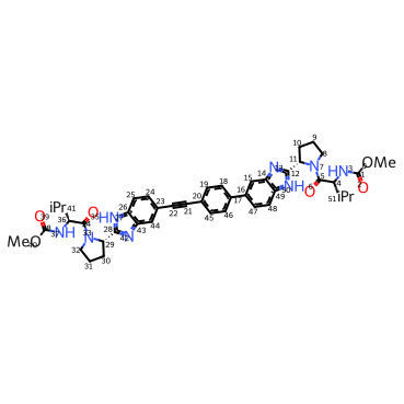 COC(=O)NC(C(=O)N1CCC[C@H]1c1nc2cc(-c3ccc(C#Cc4ccc5[nH]c([C@@H]6CCCN6C(=O)[C@@H](NC(=O)OC)C(C)C)nc5c4)cc3)ccc2[nH]1)C(C)C